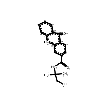 CC(C)(CO)NC(=O)c1ccc2c(=O)c3ccccc3[nH]c2c1